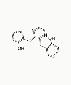 Oc1ccccc1C=c1nccnc1=Cc1ccccc1O